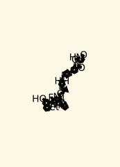 CCc1cccc2cc(O)cc(-c3ncc4c(N5CC6CCC(C5)N6)nc(OCC5(CN6C[C@@H]7[C@@H](CN8CCN(c9ccc%10c(c9)CN([C@H]9CCC(=O)NC9=O)C%10=O)CC8)[C@@H]7C6)CC5)nc4c3F)c12